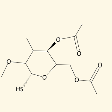 COC1C(C)[C@@H](OC(C)=O)C(COC(C)=O)O[C@@H]1S